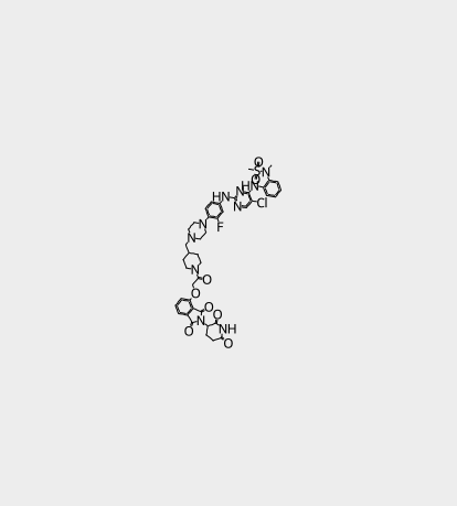 CN(c1ccccc1Nc1nc(Nc2ccc(N3CCN(CC4CCN(C(=O)COc5cccc6c5C(=O)N(C5CCC(=O)NC5=O)C6=O)CC4)CC3)c(F)c2)ncc1Cl)S(C)(=O)=O